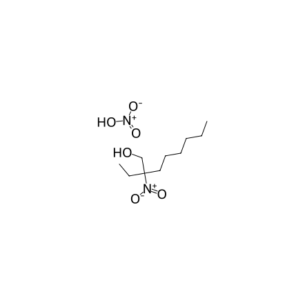 CCCCCCC(CC)(CO)[N+](=O)[O-].O=[N+]([O-])O